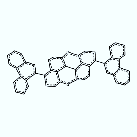 c1ccc2c(c1)cc(-c1ccc3oc4ccc5c(-c6cc7ccccc7c7ccccc67)ccc6oc7ccc1c3c7-c4c65)c1ccccc12